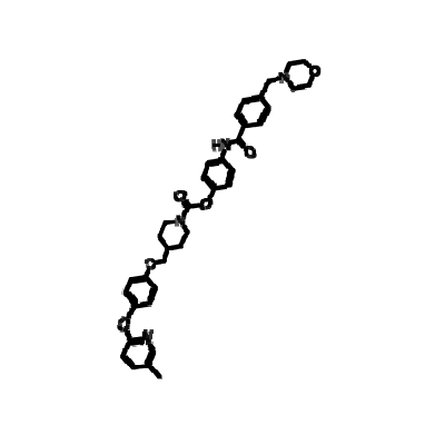 Cc1ccc(Oc2ccc(OCC3CCN(C(=O)Oc4ccc(NC(=O)c5ccc(CN6CCOCC6)cc5)cc4)CC3)cc2)nc1